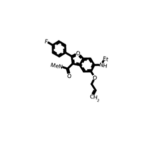 C=CCOc1cc2c(C(=O)NC)c(-c3ccc(F)cc3)oc2cc1NCC